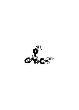 CC(C)OC(=O)N1CCC(n2ncc3c(N4CC5CCC(C4)O5)nc(-c4ccc(N)cc4)nc32)CC1